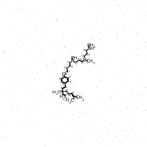 C=CC(C)(/C=C/c1ccc(OCCCCN(C)CCCN(C)CCCNC)cc1)CCC=C(C)C